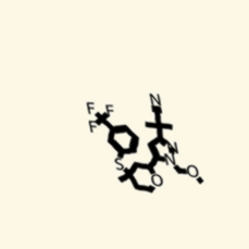 COCn1nc(C(C)(C)C#N)cc1C1CC(C)(Sc2cccc(C(F)(F)F)c2)CCO1